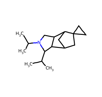 CC(C)C1C2C3CC(C2CN1C(C)C)C1(CC1)C3